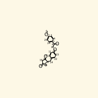 COc1ccc(C(=O)COc2ccc(CC3SC(=O)CC3=O)cc2)cc1